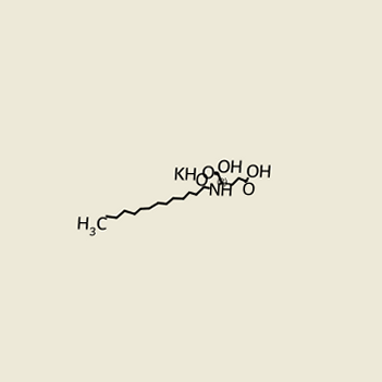 CCCCCCCCCCCCCC(=O)N[C@H](CCC(=O)O)C(=O)O.[KH]